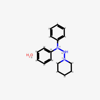 O.c1ccc(N(NN2CCCCC2)c2ccccc2)cc1